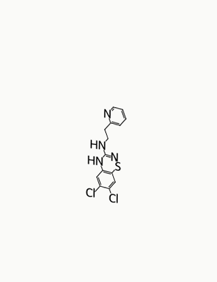 Clc1cc2c(cc1Cl)SN=C(NCCc1ccccn1)N2